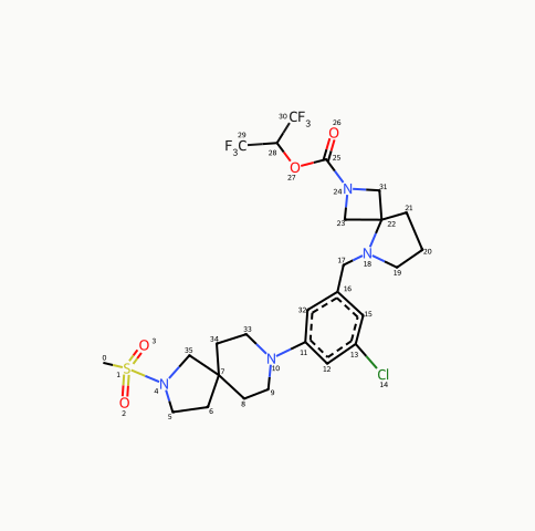 CS(=O)(=O)N1CCC2(CCN(c3cc(Cl)cc(CN4CCCC45CN(C(=O)OC(C(F)(F)F)C(F)(F)F)C5)c3)CC2)C1